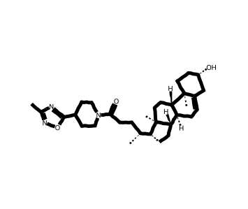 Cc1noc(C2CCN(C(=O)CC[C@@H](C)[C@H]3CC[C@H]4[C@@H]5CC=C6C[C@@H](O)CC[C@]6(C)[C@H]5CC[C@]34C)CC2)n1